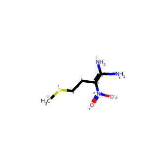 CSCCC(=C(N)N)[N+](=O)[O-]